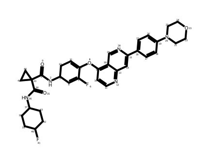 O=C(NC1C=C(F)C(Oc2ccnc3cc(-c4ccc(N5CCOCC5)cc4)ncc23)=CC1)C1(C(=O)NC2CCC(F)CC2)CC1